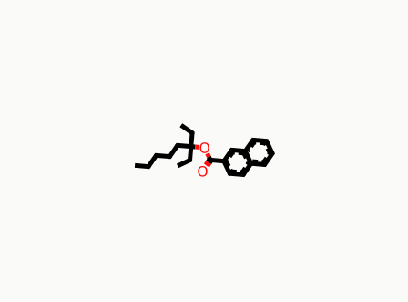 CCCCCC(CC)(CC)OC(=O)c1ccc2ccccc2c1